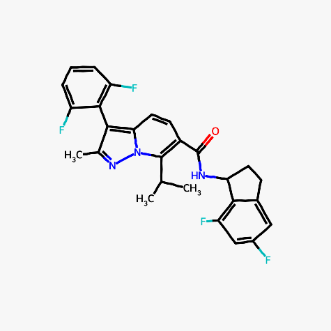 Cc1nn2c(C(C)C)c(C(=O)NC3CCc4cc(F)cc(F)c43)ccc2c1-c1c(F)cccc1F